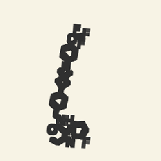 CCc1nc2c(F)cccn2c1C(=O)NCc1ccc(C2CC3(C2)CN(c2ccc(OC(F)(F)F)cc2)C3)cc1